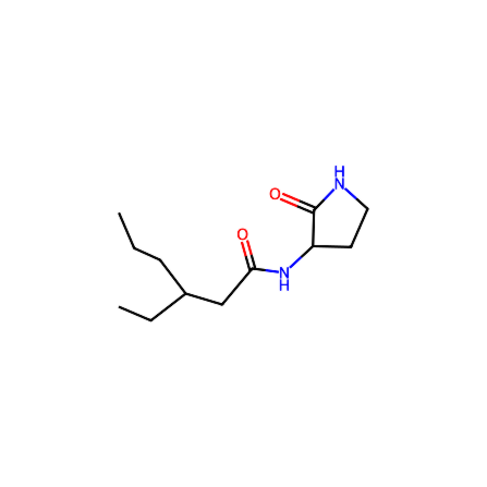 CCCC(CC)CC(=O)NC1CCNC1=O